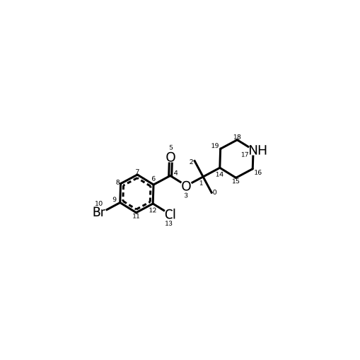 CC(C)(OC(=O)c1ccc(Br)cc1Cl)C1CCNCC1